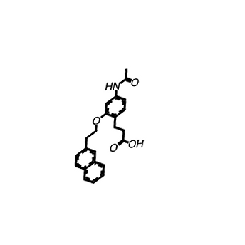 CC(=O)Nc1ccc(CCC(=O)O)c(OCCc2ccc3ccccc3c2)c1